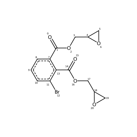 O=C(OCC1CO1)c1cccc(Br)c1C(=O)OCC1CO1